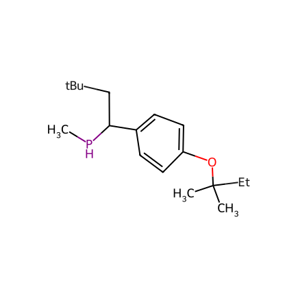 CCC(C)(C)Oc1ccc(C(CC(C)(C)C)PC)cc1